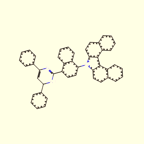 C1=C(c2ccccc2)N=C(c2ccc(-n3c4ccc5ccccc5c4c4c5ccccc5ccc43)c3ccccc23)NC1c1ccccc1